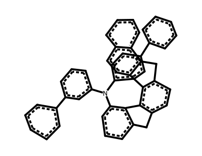 c1ccc(-c2ccc(N(c3cccc(-c4ccccc4)c3)c3cccc4c3-c3c(ccc5c3-c3ccc6ccccc6c3C5)C4)cc2)cc1